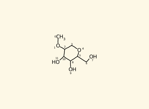 COC1COC(CO)C(O)C1O